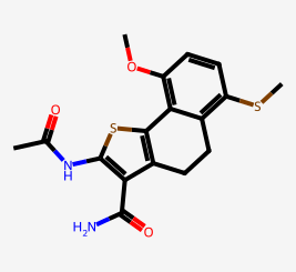 COc1ccc(SC)c2c1-c1sc(NC(C)=O)c(C(N)=O)c1CC2